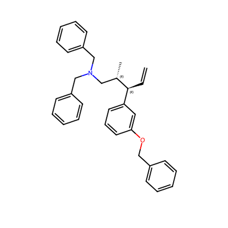 C=C[C@@H](c1cccc(OCc2ccccc2)c1)[C@@H](C)CN(Cc1ccccc1)Cc1ccccc1